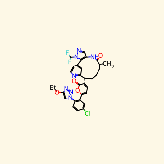 CCOc1cn(-c2ccc(Cl)cc2-c2ccc([C@H]3CCC[C@H](C)C(=O)Nc4cnn(C(F)F)c4-c4ccnc3c4)c(=O)o2)nn1